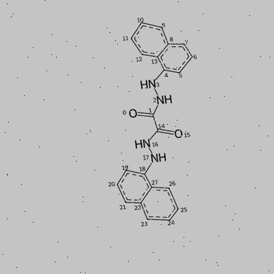 O=C(NNc1cccc2ccccc12)C(=O)NNc1cccc2ccccc12